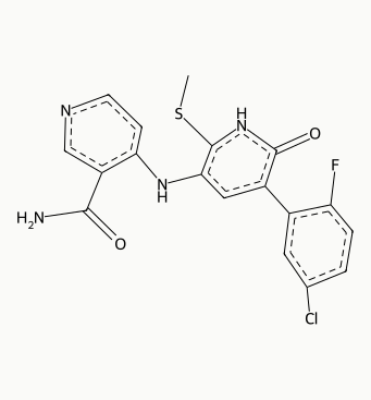 CSc1[nH]c(=O)c(-c2cc(Cl)ccc2F)cc1Nc1ccncc1C(N)=O